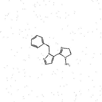 NN1CCN=C1c1ccnn1Cc1ccccc1